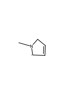 CN1[C]C=CC1